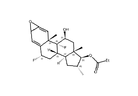 CCC(=O)O[C@H]1[C@H](C)C[C@H]2[C@@H]3C[C@H](F)C4=CC5OC5=C[C@]4(C)[C@@]3(F)[C@@H](O)C[C@@]21C